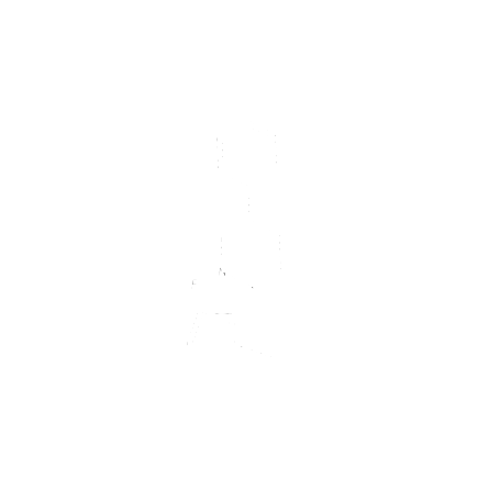 CC1=CCC(C)=C1C1(C)CC(C)C(c2ccccc2)=CN1F